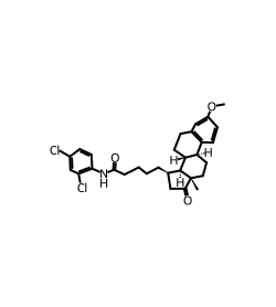 COc1ccc2c(c1)CC[C@H]1[C@@H]3[C@H](CCCCC(=O)Nc4ccc(Cl)cc4Cl)CC(=O)[C@@]3(C)CC[C@H]21